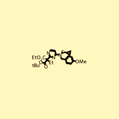 CCOC(=O)C(CC)(C(=O)OC(C)(C)C)c1nccc(N(Cc2ccc(OC)cc2)SC2CC2)n1